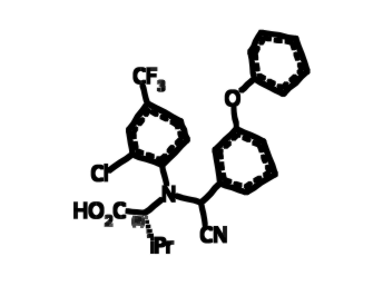 CC(C)[C@H](C(=O)O)N(c1ccc(C(F)(F)F)cc1Cl)C(C#N)c1cccc(Oc2ccccc2)c1